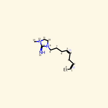 CC/C=C\C/C=C\CCCN1CCN(C)C1=N